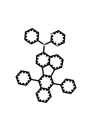 c1ccc(-c2c3c(c(-c4ccccc4)c4ccccc24)-c2ccc(N(c4ccccc4)c4ncccn4)c4cccc-3c24)cc1